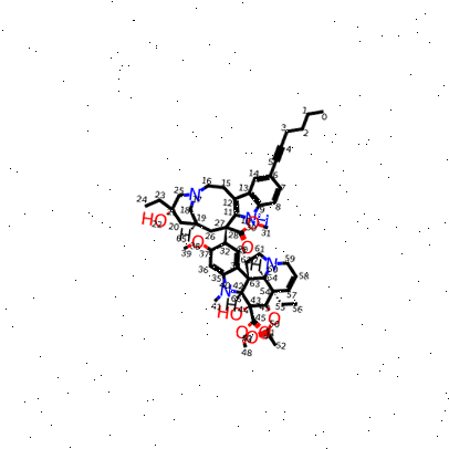 CCCCC#Cc1ccc2[nH]c3c(c2c1)CCN1C[C@H](C[C@@](O)(CC)C1)C[C@]3(C(=O)OC)C1C=C2C(=CC1OC)N(C)[C@H]1[C@@](O)(C(=O)OC)[C@H](OC(C)=O)[C@]3(CC)C=CCN4CC[C@]21[C@@H]43